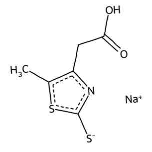 Cc1sc([S-])nc1CC(=O)O.[Na+]